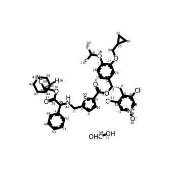 O=C(O[C@@H](Cc1c(Cl)c[n+]([O-])cc1Cl)c1ccc(OC(F)F)c(OCC2CC2)c1)c1ccc(CNC(C(=O)O[C@H]2CN3CCC2CC3)c2ccccc2)s1.O=CO